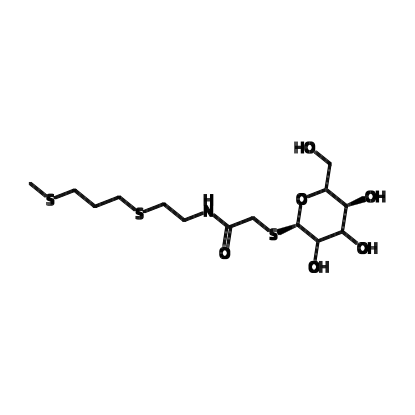 CSCCCSCCNC(=O)CS[C@H]1OC(CO)[C@@H](O)C(O)C1O